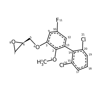 COc1c(OC[C@H]2CO2)cc(F)cc1-c1c(Cl)cccc1Cl